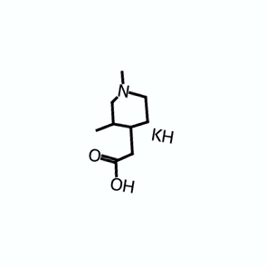 CC1CN(C)CCC1CC(=O)O.[KH]